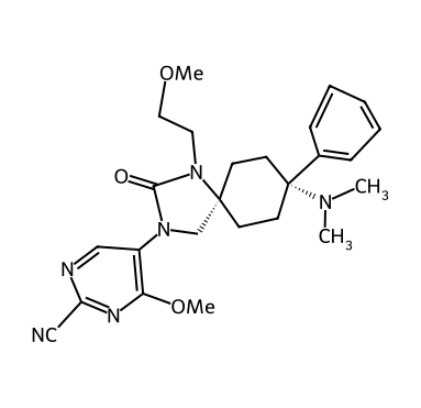 COCCN1C(=O)N(c2cnc(C#N)nc2OC)C[C@]12CC[C@@](c1ccccc1)(N(C)C)CC2